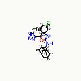 CC(C)(C)n1nnnc1C1OC(NC2C3CC4CC(C3)CC2C4)=Nc2cc(Cl)ccc21